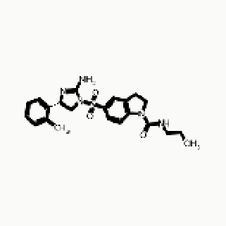 CCCNC(=O)N1CCc2cc(S(=O)(=O)N3C[C@H](c4ccccc4C)N=C3N)ccc21